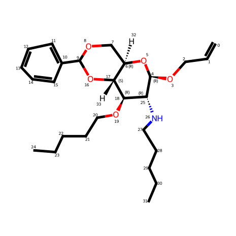 C=CCO[C@@H]1O[C@@H]2COC(c3ccccc3)O[C@H]2[C@H](OCCCCC)[C@H]1NCCCCC